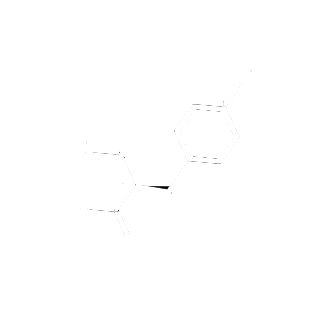 O=C(O)[C@H](Cc1ccc(I)cc1)NO